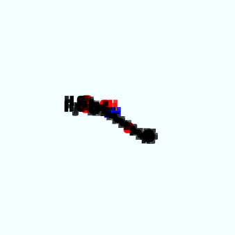 CC1(C)OCc2cc(C(O)CNCCCCCCOCCCCc3ccccc3)ccc2O1